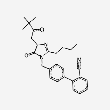 CCCCC1=NC(CC(=O)C(C)(C)C)C(=O)N1Cc1ccc(-c2ccccc2C#N)cc1